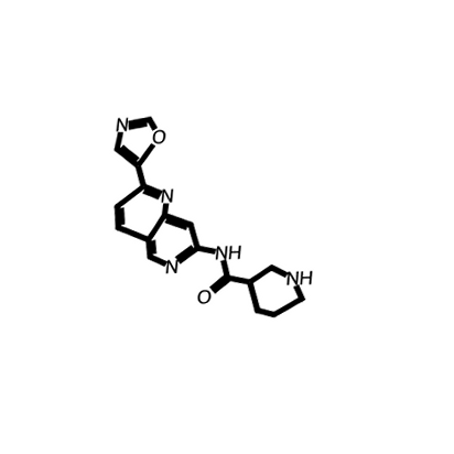 O=C(Nc1cc2nc(-c3cnco3)ccc2cn1)C1CCCNC1